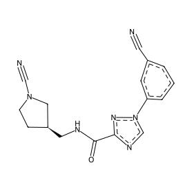 N#Cc1cccc(-n2cnc(C(=O)NC[C@H]3CCN(C#N)C3)n2)c1